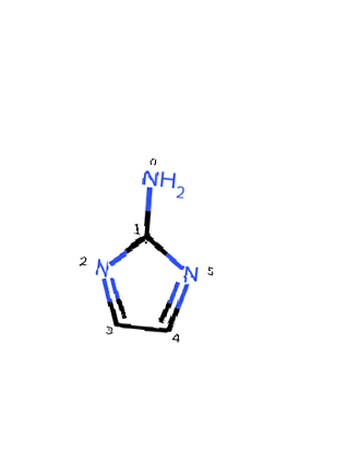 N[C]1N=CC=N1